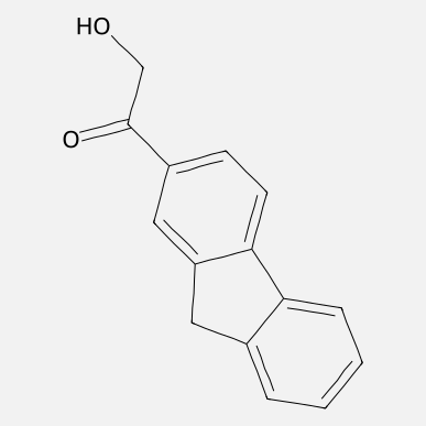 O=C(CO)c1ccc2c(c1)Cc1ccccc1-2